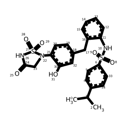 CC(C)c1ccc(S(=O)(=O)Nc2ccccc2Cc2ccc(N3CC(=O)NS3(=O)=O)c(O)c2)cc1